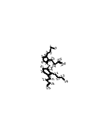 CCCCC1=CC[C]([Zr][C]2=C(CCCC)C(CCCC)=CC2)=C1CCCC